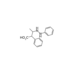 CC(NNc1ccccc1)C(C(=O)O)c1ccccc1